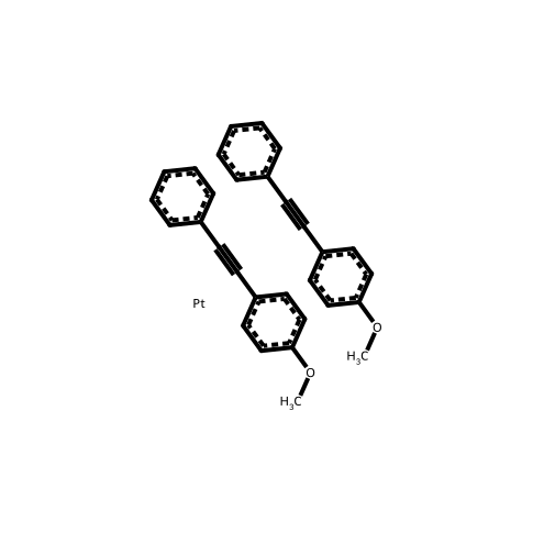 COc1ccc(C#Cc2ccccc2)cc1.COc1ccc(C#Cc2ccccc2)cc1.[Pt]